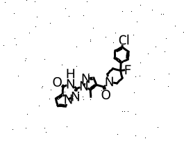 Cc1c(C(=O)N2CCC(F)(c3ccc(Cl)cc3)CC2)cnn1-c1nn2cccc2c(=O)[nH]1